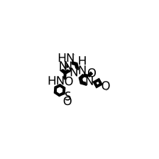 CNc1cc(Nc2cccn([C@H]3C[C@@H](OC)C3)c2=O)nc2c(C(=O)N[C@@H]3CCCC(SOC)C3)cnn12